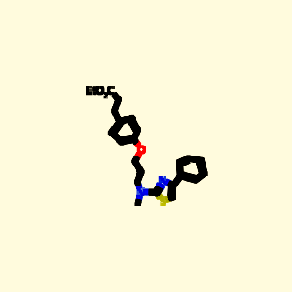 CCOC(=O)CCc1ccc(OCCCN(C)c2nc(-c3ccccc3)cs2)cc1